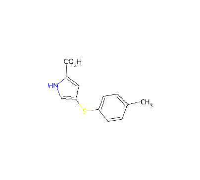 Cc1ccc(Sc2c[nH]c(C(=O)O)c2)cc1